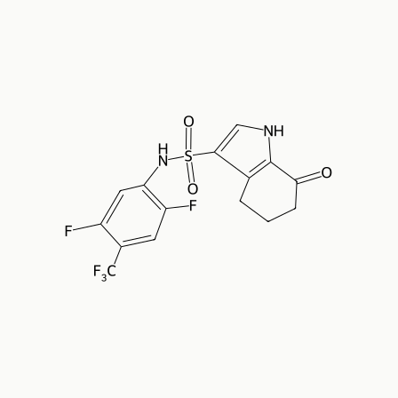 O=C1CCCc2c(S(=O)(=O)Nc3cc(F)c(C(F)(F)F)cc3F)c[nH]c21